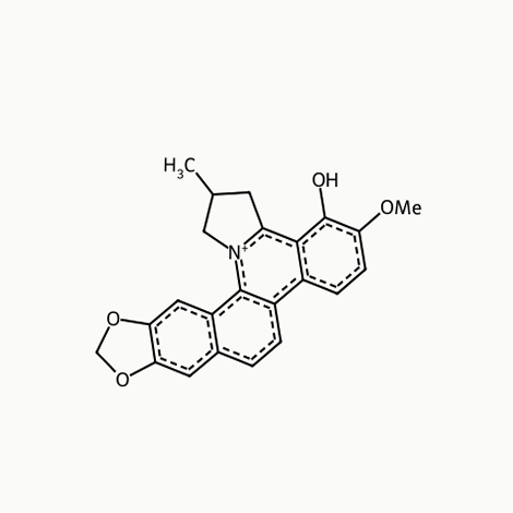 COc1ccc2c(c1O)c1[n+](c3c4cc5c(cc4ccc23)OCO5)CC(C)C1